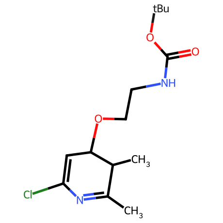 CC1=NC(Cl)=CC(OCCNC(=O)OC(C)(C)C)C1C